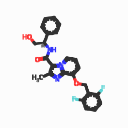 Cc1nc2c(OCc3c(F)cccc3F)cccn2c1C(=O)N[C@@H](CO)c1ccccc1